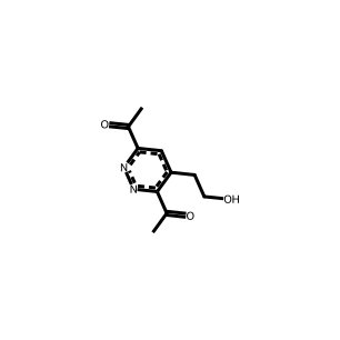 CC(=O)c1cc(CCO)c(C(C)=O)nn1